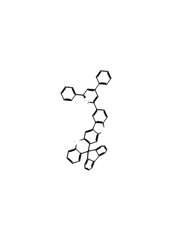 c1ccc(-c2cc(-c3ccccc3)nc(-c3ccc4oc5cc6c(cc5c4c3)Oc3ccccc3C63c4ccccc4-c4ccccc43)c2)cc1